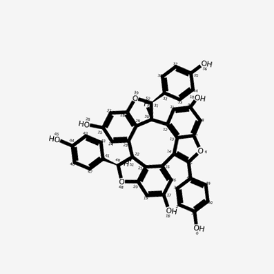 Oc1ccc(-c2oc3cc(O)cc4c3c2-c2cc(O)cc3c2[C@@H](c2cc(O)cc5c2[C@@H]4[C@H](c2ccc(O)cc2)O5)[C@H](c2ccc(O)cc2)O3)cc1